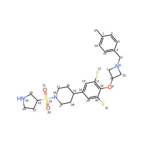 Cc1ccc(CN2CC(Oc3c(F)cc(C4CCN(S(=O)(=O)C5CCNC5)CC4)cc3F)C2)cc1